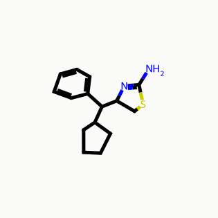 NC1=NC(C(c2ccccc2)C2CCCC2)CS1